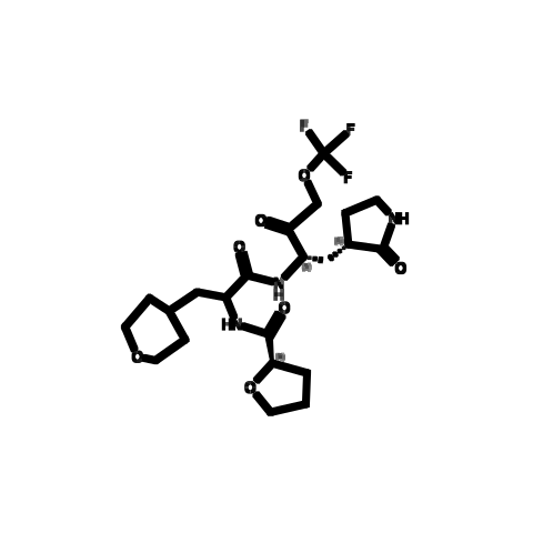 O=C(N[C@@H](C[C@@H]1CCNC1=O)C(=O)COC(F)(F)F)C(CC1CCOCC1)NC(=O)[C@H]1CCCO1